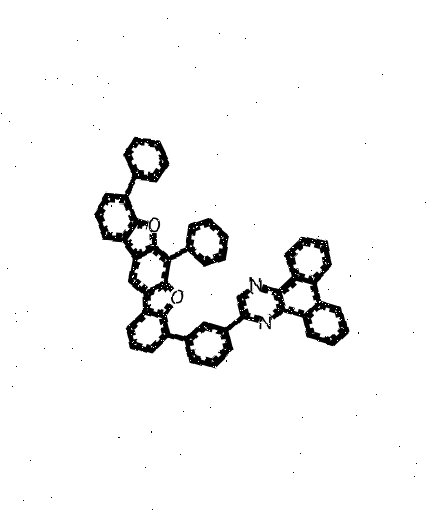 c1ccc(-c2cccc3c2oc2c(-c4ccccc4)c4oc5c(-c6cccc(-c7cnc8c9ccccc9c9ccccc9c8n7)c6)cccc5c4cc23)cc1